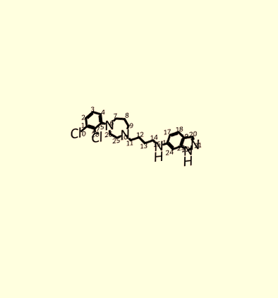 Clc1cccc(N2CCCN(CCCCNc3ccc4cn[nH]c4c3)CC2)c1Cl